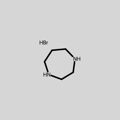 Br.C1CNCCNC1